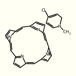 C1=Cc2cc3ccc(cc4nc(cc5ccc(cc1n2)[nH]5)C=C4)[nH]3.CN1C=CC(Cl)=CC1